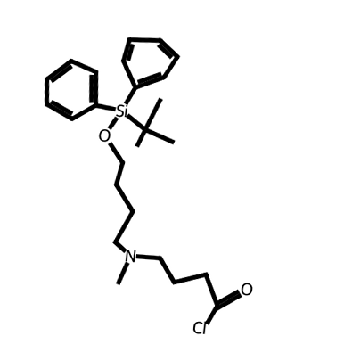 CN(CCCCO[Si](c1ccccc1)(c1ccccc1)C(C)(C)C)CCCC(=O)Cl